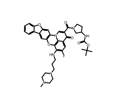 CN1CCN(CCCNc2c(F)cc3c(=O)c(C(=O)N4CCC(NC(=O)OC(C)(C)C)C4)cn4c3c2Oc2cc3c(cc2-4)oc2ccccc23)CC1